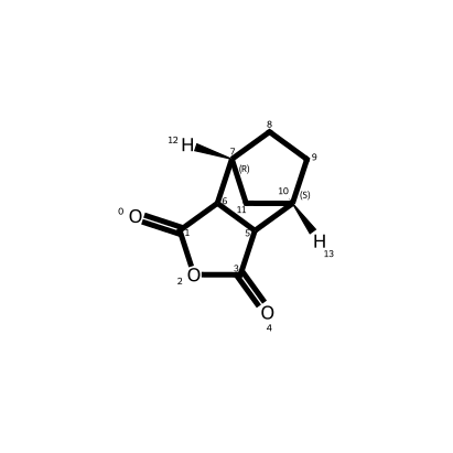 O=C1OC(=O)C2C1[C@@H]1CC[C@H]2C1